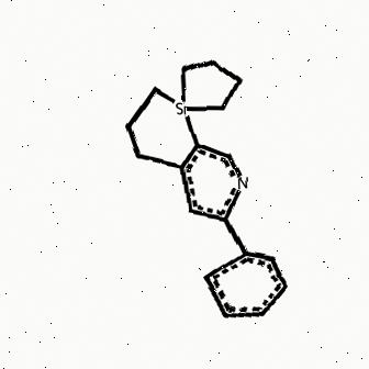 c1ccc(-c2cc3c(cn2)[Si]2(CCCC2)CCC3)cc1